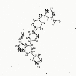 C=C(C)c1cc(OC2CCN(c3ccc(-c4cc(-c5cnn(C)c5)cn5ncc(C#N)c45)cn3)CC2)ncn1